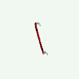 BB=BB=BB=BB=BB=BB=BB=BB=BB=BB=BB=BB=BB=BB=BB=BB=BB=BB=BOC